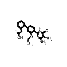 CCOc1cc(-c2ccccc2CC(=O)O)ccc1-c1nc(N)c(N)c(=O)[nH]1